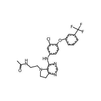 CC(=O)NCCN1CCc2ncnc(Nc3ccc(Oc4cccc(C(F)(F)F)c4)c(Cl)c3)c21